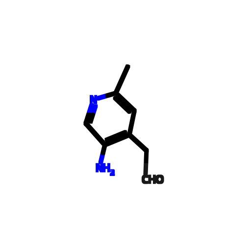 Cc1cc(CC=O)c(N)cn1